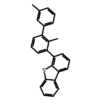 Cc1cccc(-c2cccc(-c3cccc4c3sc3ccccc34)c2C)c1